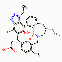 CC[C@H]1Cc2ccccc2S(O)(O)N(Cc2cc([C@H](CC(=O)O)c3ccc4c(nnn4CC)c3F)ccc2C)C1